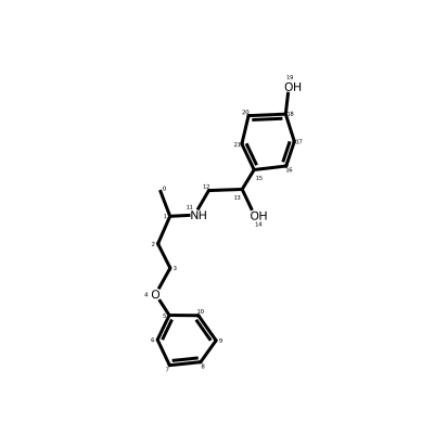 CC(C[CH]Oc1ccccc1)NCC(O)c1ccc(O)cc1